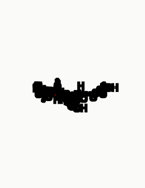 CCCO[C@H](C[C@H](C(C)C)N(CCC)C(=O)[C@@H](NC(=O)[C@H]1CCCCN1C)[C@@H](C)CC)c1nc(C(=O)N[C@H]2Cc3ccc(O)cc3[C@H](C(=O)OC(C)CNC(=O)CCCC(=O)OCC(OC)OC(CC)CO)C2)cs1